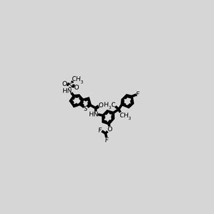 CC(C)(c1ccc(F)cc1)c1cc(NC(=O)c2cc3cc(NS(C)(=O)=O)ccc3s2)cc(OC(F)F)c1